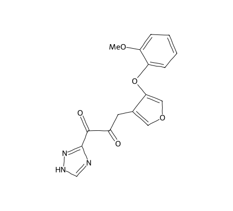 COc1ccccc1Oc1cocc1CC(=O)C(=O)c1nc[nH]n1